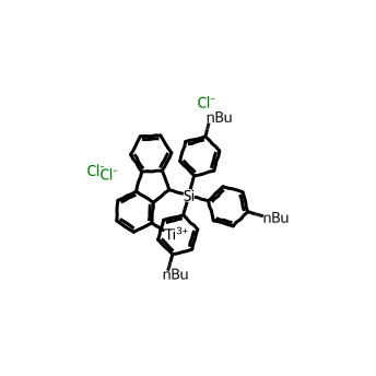 CCCCc1ccc([Si](c2ccc(CCCC)cc2)(c2ccc(CCCC)cc2)C2c3ccccc3-c3ccc[c]([Ti+3])c32)cc1.[Cl-].[Cl-].[Cl-]